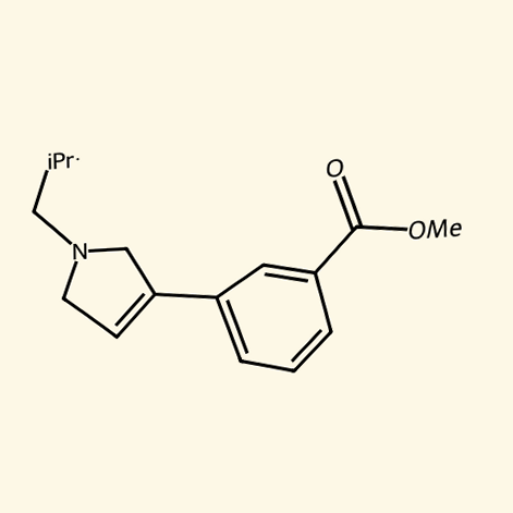 COC(=O)c1cccc(C2=CCN(C[C](C)C)C2)c1